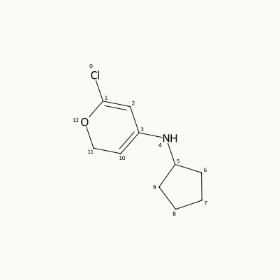 ClC1=CC(NC2CCCC2)=CCO1